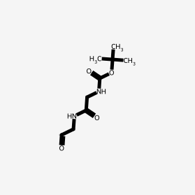 CC(C)(C)OC(=O)NCC(=O)NC[C]=O